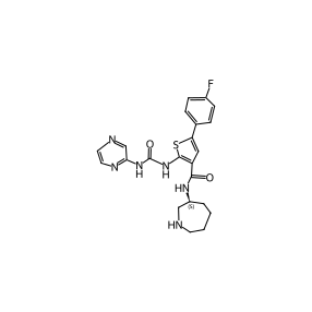 O=C(Nc1cnccn1)Nc1sc(-c2ccc(F)cc2)cc1C(=O)N[C@H]1CCCCNC1